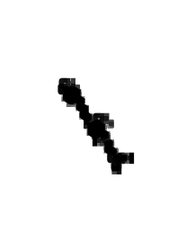 COc1ccc(CCCCCSc2ccc(CNCCCO[PH](=O)O)cc2C)cc1